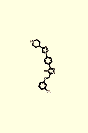 Cn1c(COc2cccc(C(F)(F)F)c2)nnc1-c1ccc(-n2cc(C3CCNCC3)nn2)cc1